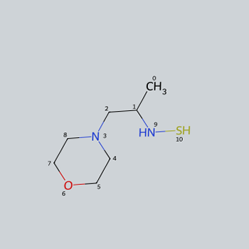 CC(CN1CCOCC1)NS